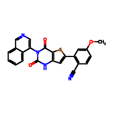 COc1ccc(C#N)c(-c2cc3[nH]c(=O)n(-c4cncc5ccccc45)c(=O)c3s2)c1